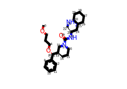 COCCCO[C@@H](c1ccccc1)[C@@H]1CCCN(C(=O)N[C@H](CN)CC2CCCCC2)C1